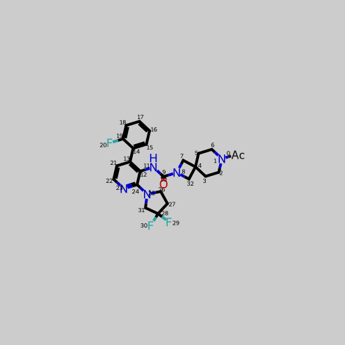 CC(=O)N1CCC2(CC1)CN(C(=O)Nc1c(-c3ccccc3F)ccnc1N1CCC(F)(F)C1)C2